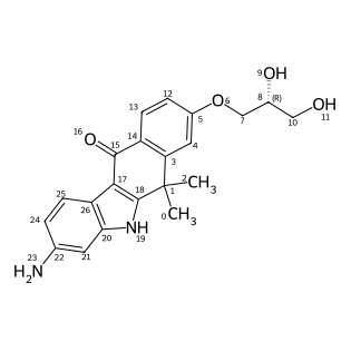 CC1(C)c2cc(OC[C@H](O)CO)ccc2C(=O)c2c1[nH]c1cc(N)ccc21